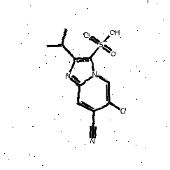 CC(C)c1nc2cc(C#N)c(Cl)cn2c1S(=O)(=O)O